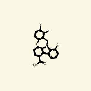 NC(=O)c1cccc2c1c1[c]ccc(Cl)c1n2Cc1c(F)ccc(F)c1F